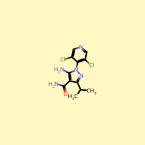 CC(C)c1nn(-c2c(Cl)cncc2Cl)c(N)c1C(N)=O